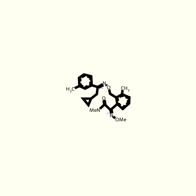 CNC(=O)/C(=N/OC)c1cccc(C)c1CO/N=C(\CC1CC1)c1cccc(C)c1